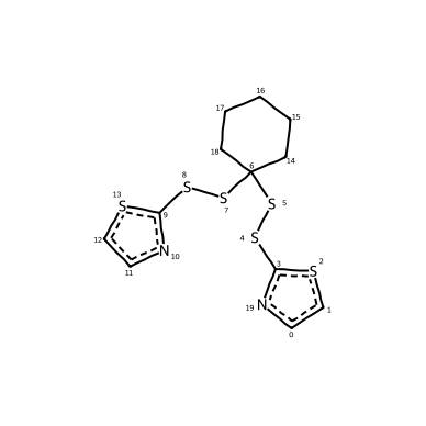 c1csc(SSC2(SSc3nccs3)CCCCC2)n1